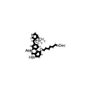 Br.CCCCCCCCCCCCCCCCOc1cccc(CN(C(C)=O)c2cccc(CC3(C)CN=CC=C3C)c2)c1